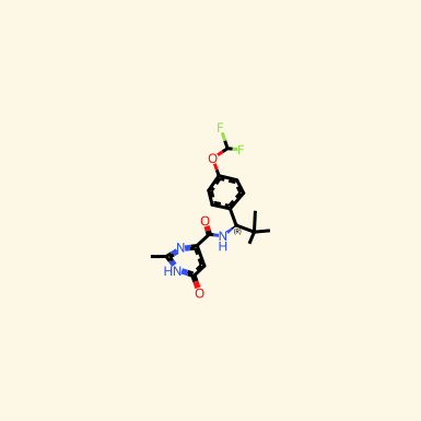 Cc1nc(C(=O)N[C@@H](c2ccc(OC(F)F)cc2)C(C)(C)C)cc(=O)[nH]1